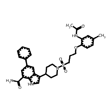 CC(=O)Nc1cc(C)ccc1OCCCS(=O)(=O)N1CCC(c2c[nH]c3c(C(N)=O)cc(-c4ccccc4)cc23)CC1